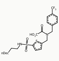 CCCCCCCCCCCCNS(=O)(=O)c1ccc(CN(Cc2ccc(C(F)(F)F)cc2)C(=O)C(=O)O)s1